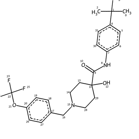 CC(C)(C)c1ccc(NC(=O)C2(O)CCN(Cc3ccc(OC(F)(F)F)cc3)CC2)cc1